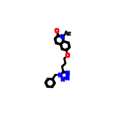 CC(=O)n1c(=O)ccc2cc(OCCCc3nnnn3Cc3ccccc3)ccc21